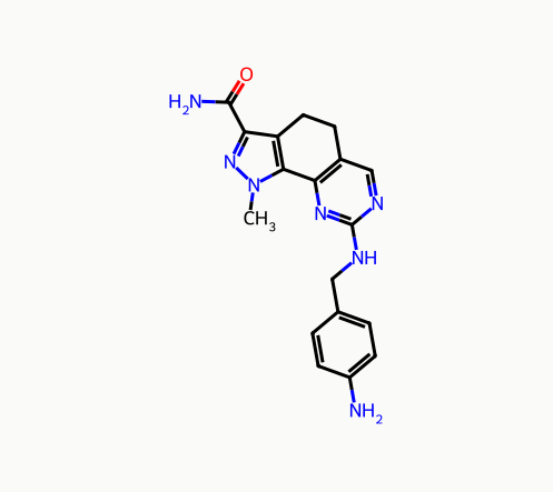 Cn1nc(C(N)=O)c2c1-c1nc(NCc3ccc(N)cc3)ncc1CC2